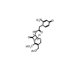 CC(=O)OCC1=C(C(=O)O)N2C(=O)[C@@H](NC(=O)Cn3ccc(=O)cc3[N+](=O)[O-])[C@H]2SC1